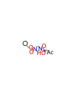 CC(=O)C[C@@H](O)C(=O)N1CCN(C(=O)OCc2ccccc2)CC1